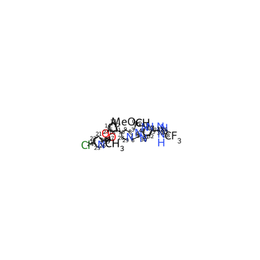 CO[C@H](C)Cn1c(CN2CCC(c3cccc4c3O[C@@](C)(c3ccc(Cl)cn3)O4)CC2)nc2cc(-c3nnc(C(F)(F)F)[nH]3)nnc21